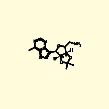 Cc1ncnc2c1ncn2C1OC(CN)[C@H]2OC(C)(C)O[C@@H]12